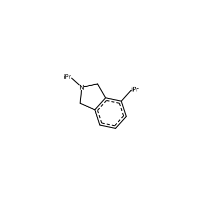 CC(C)c1cccc2c1CN(C(C)C)C2